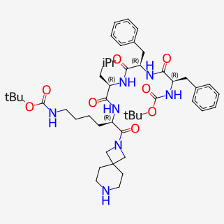 CC(C)C[C@@H](NC(=O)[C@@H](Cc1ccccc1)NC(=O)[C@@H](Cc1ccccc1)NC(=O)OC(C)(C)C)C(=O)N[C@H](CCCCNC(=O)OC(C)(C)C)C(=O)N1CC2(CCNCC2)C1